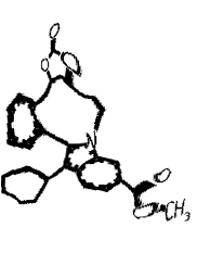 COC(=O)c1ccc2c(C3CCCCC3)c3n(c2c1)CCC1OC(=O)OC1c1ccccc1-3